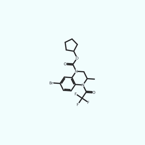 CC1CN(C(=O)OC2CCCC2)c2cc(Br)ccc2N1C(=O)C(F)(F)F